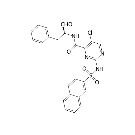 O=C[C@H](Cc1ccccc1)NC(=O)c1nc(NS(=O)(=O)c2ccc3ccccc3c2)ncc1Cl